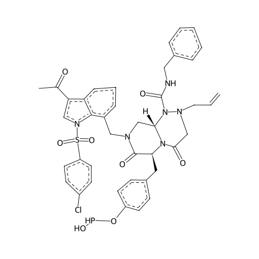 C=CCN1CC(=O)N2[C@@H](Cc3ccc(OPO)cc3)C(=O)N(Cc3cccc4c(C(C)=O)cn(S(=O)(=O)c5ccc(Cl)cc5)c34)C[C@@H]2N1C(=O)NCc1ccccc1